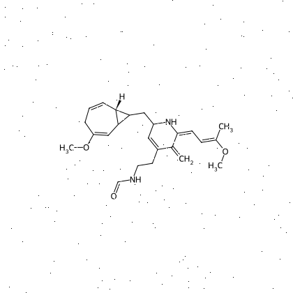 C=C1C(CCNC=O)=CC(CC2C3C=C(OC)CC=C[C@@H]32)N/C1=C/C=C(\C)OC